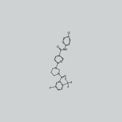 O=C(Nc1ccc(Cl)cc1)c1ccc(N2CCCN(C(=O)c3cc(F)ccc3C(F)(F)F)C2)nc1